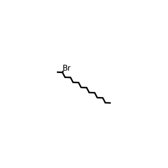 CCCCCCCCCCCCC(C)Br